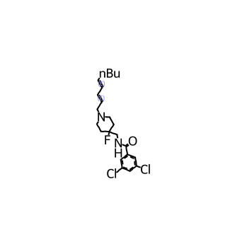 CCCC/C=C/C=C/CN1CCC(F)(CNC(=O)c2cc(Cl)cc(Cl)c2)CC1